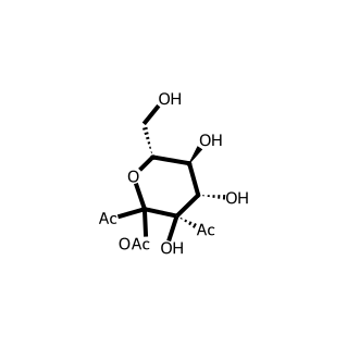 CC(=O)OC1(C(C)=O)O[C@H](CO)[C@@H](O)[C@H](O)[C@]1(O)C(C)=O